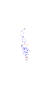 CC(C)(F)CN1CCC(N2CCN(C(=O)[C@@H]3CCN3c3nc(N)n4nc(-c5ccco5)nc4n3)CC2)CC1